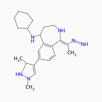 C/C(N=N)=C1/NCCC(NC2CCCCC2)c2cc(C3=CN(C)NC3C)ccc21